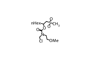 CCCCCCC(CS(C)(=O)=O)OC(=O)N(CCl)CCOC